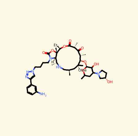 CC[C@H]1OC(=O)[C@H](C)C(=O)[C@H](C)[C@@H](O[C@@H]2OC(C)CC(N3CC[C@H](O)C3)C2O)[C@](C)(OC)C[C@@H](C)CN[C@H](C)[C@H]2N(CCCCn3cc(-c4cccc(N)c4)nn3)C(=O)O[C@]12C